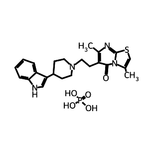 Cc1nc2scc(C)n2c(=O)c1CCN1CCC(c2c[nH]c3ccccc23)CC1.O=P(O)(O)O